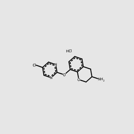 Cl.NC1COc2c(cccc2Oc2ncc(Cl)cn2)C1